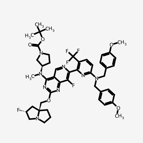 COc1ccc(CN(Cc2ccc(OC)cc2)c2ccc(C(F)(F)F)c(-c3ncc4c(N(C)[C@@H]5CCN(C(=O)OC(C)(C)C)C5)nc(OC[C@@]56CCCN5C[C@H](F)C6)nc4c3F)n2)cc1